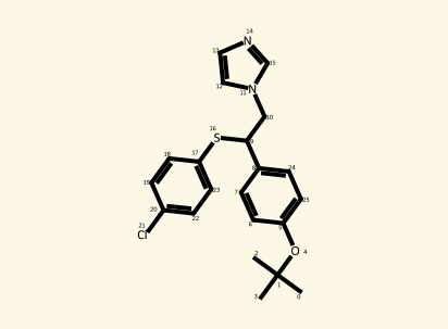 CC(C)(C)Oc1ccc(C(Cn2ccnc2)Sc2ccc(Cl)cc2)cc1